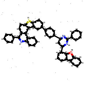 c1ccc(-c2nc(-c3ccc(-c4ccc5sc6ccc7c(-c8ccccc8)nc8ccccc8c7c6c5c4)cc3)cc(-c3cccc4c3oc3ccccc34)n2)cc1